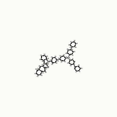 c1ccc(-c2ccc(N(c3ccc(-c4ccccc4)cc3)c3ccc(-c4ccc(-n5c6ccccc6n6c7cc8ccccc8cc7nc56)cc4)cc3)cc2)cc1